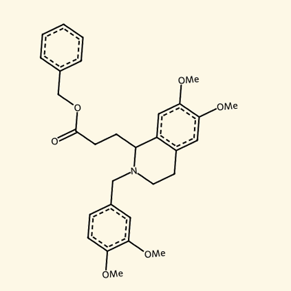 COc1ccc(CN2CCc3cc(OC)c(OC)cc3C2CCC(=O)OCc2ccccc2)cc1OC